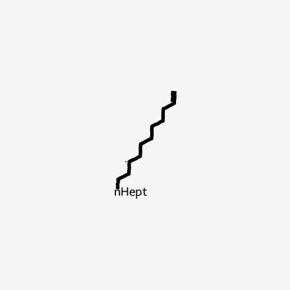 C=CCCCCCC[CH]CCCCCCCCC